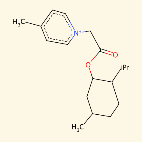 Cc1cc[n+](CC(=O)OC2CC(C)CCC2C(C)C)cc1